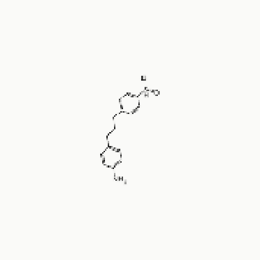 Nc1ccc(CCCc2ccc([SH](=O)=O)cc2)cc1